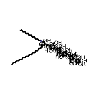 CCCCCCCCCCCCC/C=C/[C@@H](O)[C@H](CO[C@@H]1OC(CO)[C@@H](O[C@@H]2OC(CO)[C@H](O)[C@H](O[C@H]3OC(CO)[C@H](O)[C@H](O[C@@H]4OC(CO)[C@@H](O)[C@H](O[C@H]5OC(C)[C@@H](O)C(O)[C@@H]5O)C4NC(C)=O)C3O)C2O)[C@H](O)C1O)NC(=O)CCCCCCCCCCCCCCCCCCC